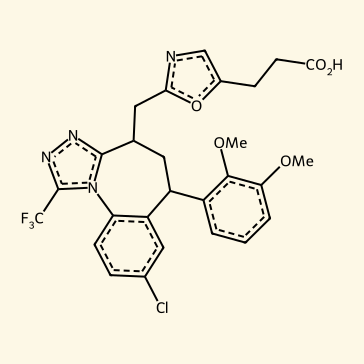 COc1cccc(C2CC(Cc3ncc(CCC(=O)O)o3)c3nnc(C(F)(F)F)n3-c3ccc(Cl)cc32)c1OC